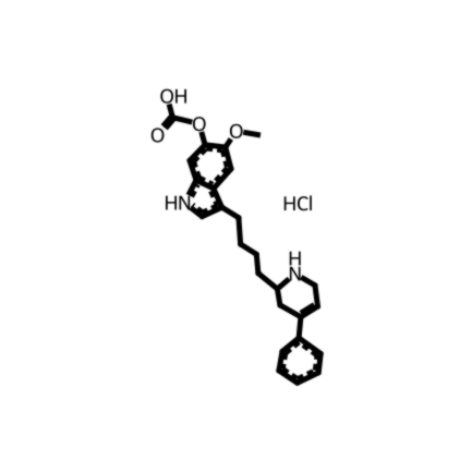 COc1cc2c(CCCCC3CC(c4ccccc4)=CCN3)c[nH]c2cc1OC(=O)O.Cl